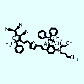 CCCCN(CCO)c1ccc(/C=C/c2ccc(/C=C/C3=C(C#N)C(=C(C#N)C#N)OC3(C)c3ccccc3)s2)c(O[Si](c2ccccc2)(c2ccccc2)C(C)(C)C)c1